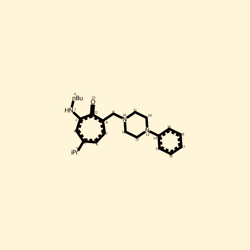 CCCCNc1cc(C(C)C)ccc(CN2CCN(c3ccccc3)CC2)c1=O